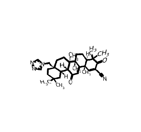 CC1(C)CC[C@]2(Cn3cnnc3)CC[C@]3(C)[C@H](C(=O)C=C4[C@@]5(C)C=C(C#N)C(=O)C(C)(C)[C@@H]5CC[C@]43C)[C@@H]2C1